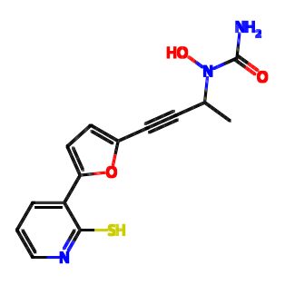 CC(C#Cc1ccc(-c2cccnc2S)o1)N(O)C(N)=O